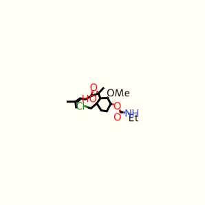 CCNC(=O)OC1CCC(O)(CCl)C(C2(C)OC2CC=C(C)C)C1OC